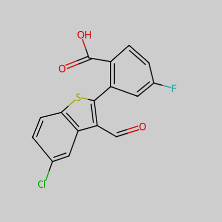 O=Cc1c(-c2cc(F)ccc2C(=O)O)sc2ccc(Cl)cc12